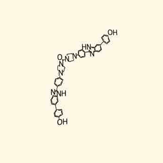 O=C(N1CCN(c2ccc(-c3nc4ccc(-c5ccc(O)cc5)cc4[nH]3)cc2)CC1)N1CCN(c2ccc(-c3nc4ccc(-c5ccc(O)cc5)cc4[nH]3)cc2)CC1